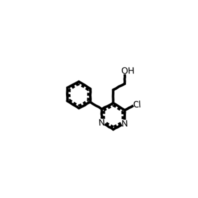 OCCc1c(Cl)ncnc1-c1ccccc1